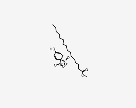 CCCCCCCCCCCCCCCC(=O)OC.O=[N+]([O-])C1([N+](=O)[O-])C=CC(O)=CC1